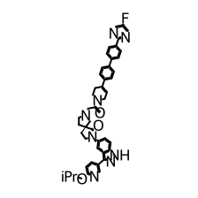 CC(C)Oc1ccc(-c2n[nH]c3ccc(N4CC[C@]5(CCN(CC(=O)N6CC=C(c7ccc(-c8ccc(-c9ncc(F)cn9)cc8)cc7)CC6)C5)C4=O)cc23)cn1